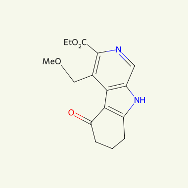 CCOC(=O)c1ncc2[nH]c3c(c2c1COC)C(=O)CCC3